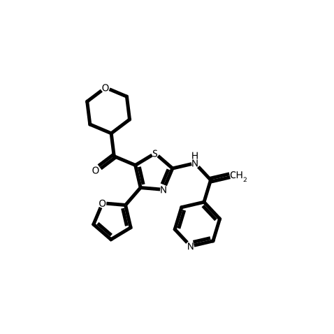 C=C(Nc1nc(-c2ccco2)c(C(=O)C2CCOCC2)s1)c1ccncc1